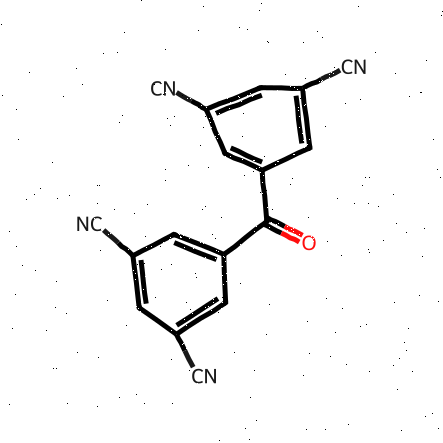 [C-]#[N+]c1cc(C#N)cc(C(=O)c2cc(C#N)cc(C#N)c2)c1